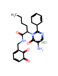 CCCCC(C(=O)NCC1=CC=CC(=O)C1=O)n1c(C2C=CC=CC2)ncc(N)c1=O.Cl